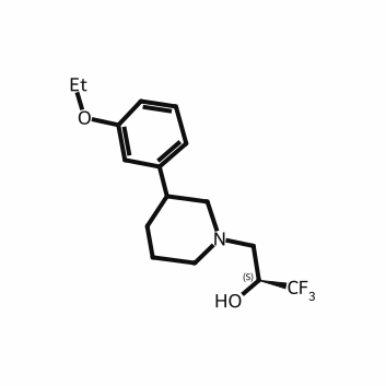 CCOc1cccc(C2CCCN(C[C@H](O)C(F)(F)F)C2)c1